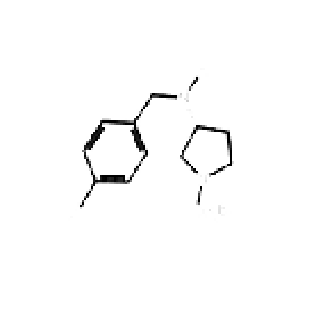 CCOC(=O)N1CC[C@@H](N(CC)Cc2ccc(Cl)cc2)C1